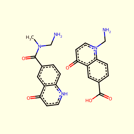 CN(CN)C(=O)c1ccc2[nH]ccc(=O)c2c1.NCn1ccc(=O)c2cc(C(=O)O)ccc21